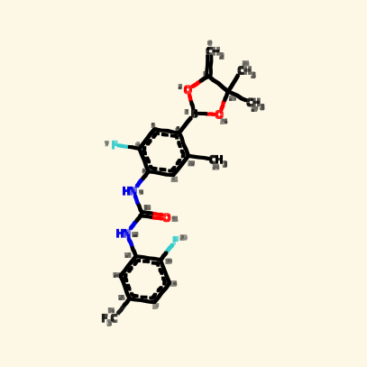 C=C1OB(c2cc(F)c(NC(=O)Nc3cc(C(F)(F)F)ccc3F)cc2C)OC1(C)C